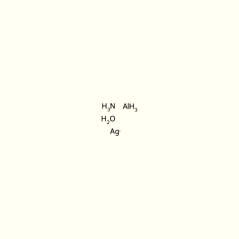 N.O.[Ag].[AlH3]